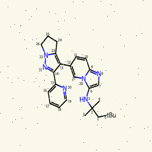 CC(C)(C)CC(C)(C)Nc1cnc2ccc(-c3c(-c4ccccn4)nn4c3CCC4)cn12